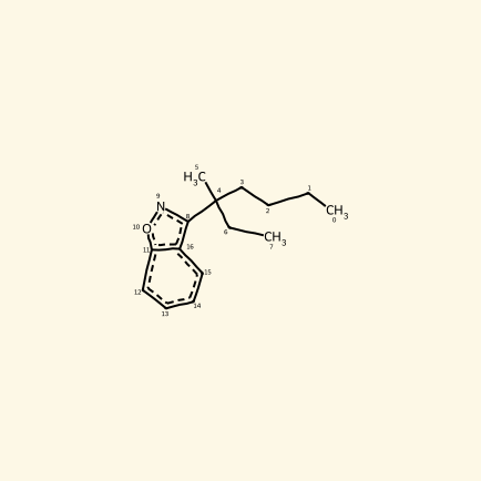 CCCCC(C)(CC)c1noc2ccccc12